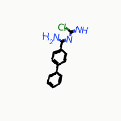 N=C(Cl)/N=C(\N)c1ccc(-c2ccccc2)cc1